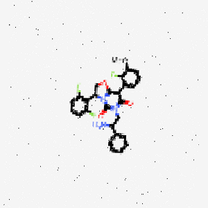 COc1cccc(-c2c3n(c(=O)n(CC(N)c4ccccc4)c2=O)C(c2c(F)cccc2F)CO3)c1F